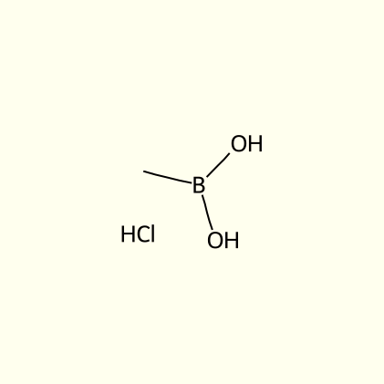 CB(O)O.Cl